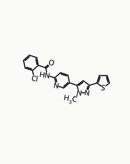 Cn1nc(-c2cccs2)cc1-c1ccc(NC(=O)c2ccccc2Cl)nc1